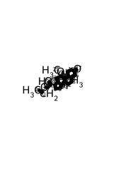 C=C(C)OCC(=O)[C@H]1CC[C@H]2[C@@H]3CCC4=CC(=O)CC[C@]4(C)[C@H]3[C@@H](OC)C[C@]12C